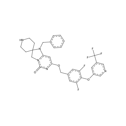 O=c1nc(OCc2cc(F)c(Oc3cncc(C(F)(F)F)c3)c(F)c2)cc2n1CC1(CCNCC1)N2Cc1ccccc1